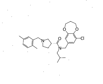 Cc1ccc(C)c(CN2CC[C@@H](C(=O)N(Cc3cc(Cl)c4c(c3)OCCCO4)CC(C)C)C2)c1